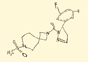 CS(=O)(=O)N1CCC2(CC1)CN(C(=O)N1N=CCC1c1cc(F)cc(F)c1)C2